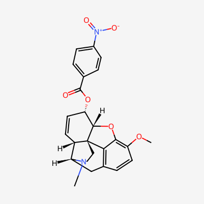 COc1ccc2c3c1O[C@H]1[C@@H](OC(=O)c4ccc([N+](=O)[O-])cc4)C=C[C@H]4[C@@H](C2)N(C)CC[C@@]341